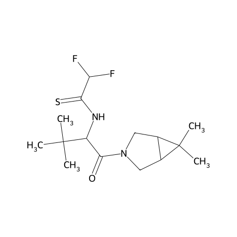 CC(C)(C)C(NC(=S)C(F)F)C(=O)N1CC2C(C1)C2(C)C